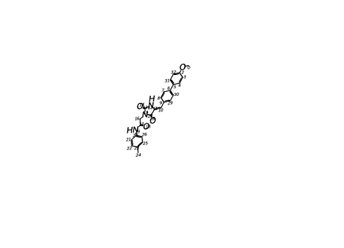 COc1ccc(-c2ccc(/C=C3\NC(=O)N(CC(=O)Nc4ccc(C)cc4)C3=O)cc2)cc1